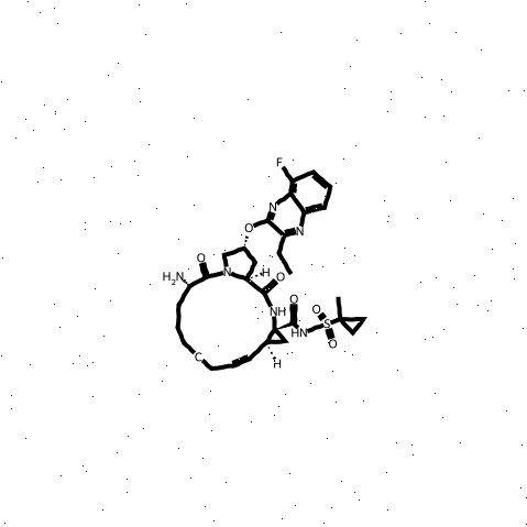 CCc1nc2cccc(F)c2nc1O[C@@H]1C[C@H]2C(=O)N[C@]3(C(=O)NS(=O)(=O)C4(C)CC4)C[C@H]3C=CCCCCC[C@H](N)C(=O)N2C1